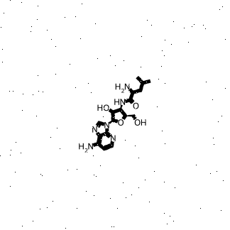 CC(C)CC(N)C(=O)N[C@@H]1C(O)[C@H](n2cnc3c(N)ccnc32)O[C@@H]1CO